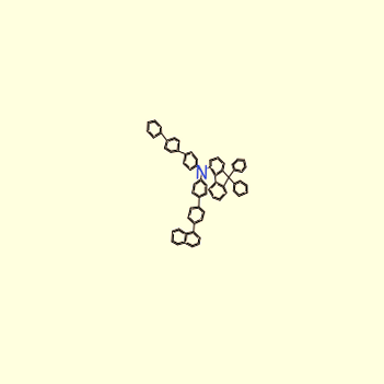 c1ccc(-c2ccc(-c3ccc(N(c4ccc(-c5ccc(-c6cccc7ccccc67)cc5)cc4)c4cccc5c4-c4ccccc4C5(c4ccccc4)c4ccccc4)cc3)cc2)cc1